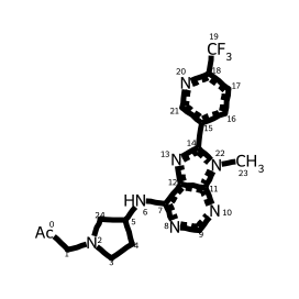 CC(=O)CN1CCC(Nc2ncnc3c2nc(-c2ccc(C(F)(F)F)nc2)n3C)C1